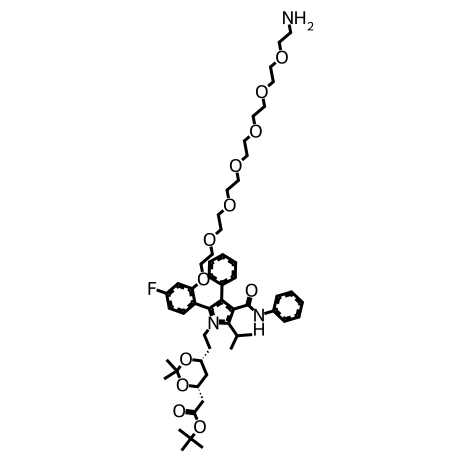 CC(C)c1c(C(=O)Nc2ccccc2)c(-c2ccccc2)c(-c2ccc(F)cc2OCCOCCOCCOCCOCCOCCOCCN)n1CC[C@@H]1C[C@H](CC(=O)OC(C)(C)C)OC(C)(C)O1